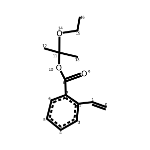 C=Cc1ccccc1C(=O)OC(C)(C)OCC